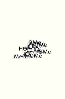 COc1cc(CC2c3cc(OC)c(OC)cc3C(O)c3cc(OC)cc(OC)c32)cc(OC)c1